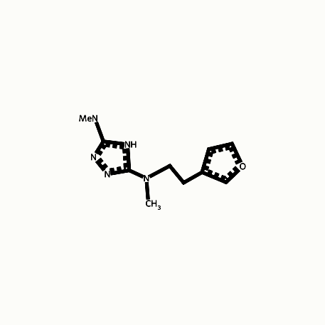 CNc1nnc(N(C)CCc2ccoc2)[nH]1